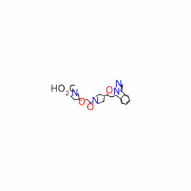 O=C(CC1c2ccccc2-c2cncn21)C1CCN(C(=O)COC2CCN(C(=O)O)C2)CC1